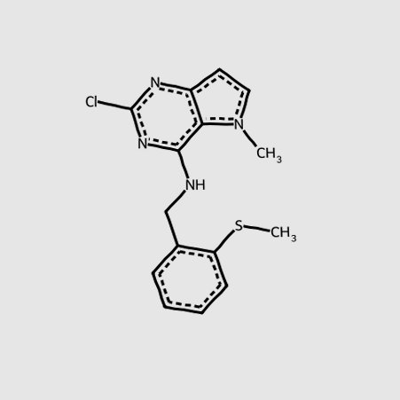 CSc1ccccc1CNc1nc(Cl)nc2ccn(C)c12